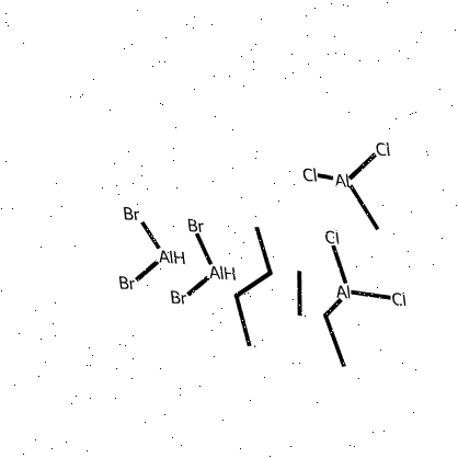 C[CH2][Al]([Cl])[Cl].[Br][AlH][Br].[Br][AlH][Br].[CH2]C.[CH2]CCC.[CH3][Al]([Cl])[Cl]